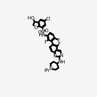 CC(C)N1CCC(Nc2ncc3c(F)c(-c4c(F)ccc(NS(=O)(=O)c5cc(Cl)cc6c5OCC6O)c4F)ccc3n2)CC1